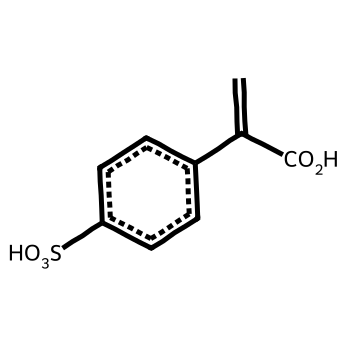 C=C(C(=O)O)c1ccc(S(=O)(=O)O)cc1